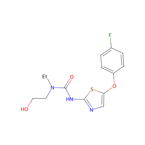 CCN(CCO)C(=O)Nc1ncc(Oc2ccc(F)cc2)s1